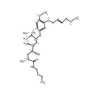 CCCCNC(=O)[C@H](C)C[C@H](O)[C@@H](N)C[C@H](Cc1ccc(OC)c(OCC=CCOC)c1)C(C)C.Cl